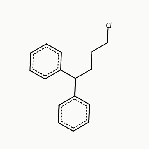 ClCCCC(c1ccccc1)c1ccccc1